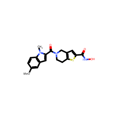 COc1ccc2c(c1)cc(C(=O)N1CCc3sc(C(=O)NO)cc3C1)n2C